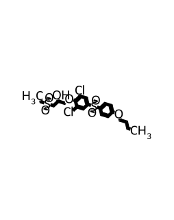 CCCCOc1ccc(S(=O)(=O)c2cc(Cl)c(OCC(O)CS(=O)(=O)CC)c(Cl)c2)cc1